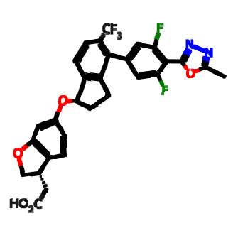 Cc1nnc(-c2c(F)cc(-c3c(C(F)(F)F)ccc4c3CC[C@H]4Oc3ccc4c(c3)OC[C@H]4CC(=O)O)cc2F)o1